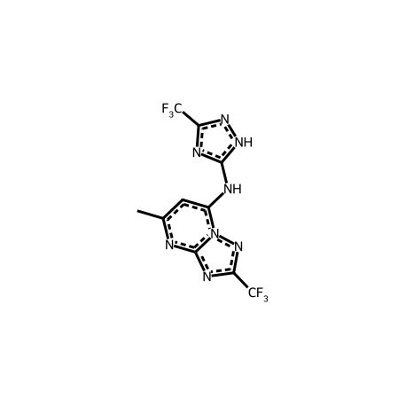 Cc1cc(Nc2nc(C(F)(F)F)n[nH]2)n2nc(C(F)(F)F)nc2n1